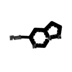 CCCC(C)c1cc2ccnn2cn1